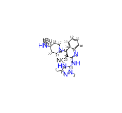 CC1=NN(C)C(Nc2nc3ccccc3c(N3CCC(NC(C)(C)C)CC3)c2C#N)N1